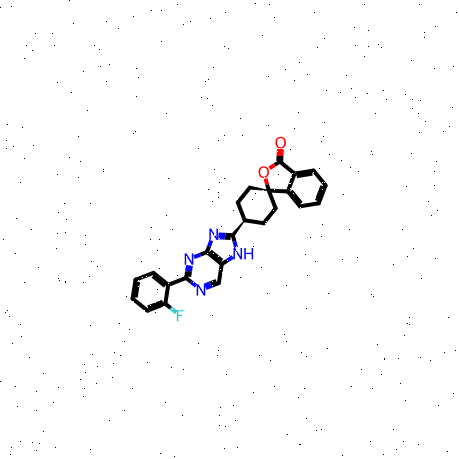 O=C1O[C@]2(CC[C@H](c3nc4nc(-c5ccccc5F)ncc4[nH]3)CC2)c2ccccc21